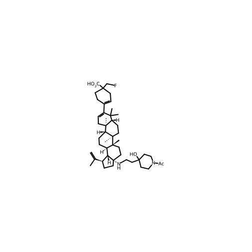 C=C(C)[C@@H]1CC[C@]2(NCCC3(O)CCN(C(C)=O)CC3)CC[C@]3(C)[C@H](CC[C@@H]4[C@@]5(C)CC=C(C6=CCC(CF)(C(=O)O)CC6)C(C)(C)[C@@H]5CC[C@]43C)[C@@H]12